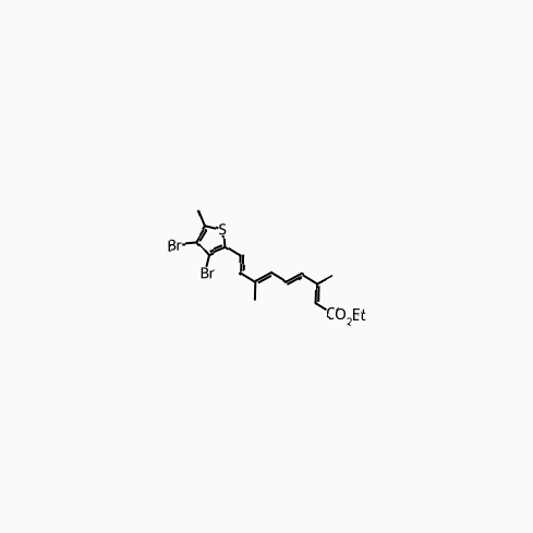 CCOC(=O)C=C(C)C=CC=C(C)C=Cc1sc(C)c(Br)c1Br